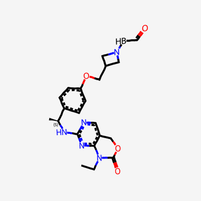 CCN1C(=O)OCc2cnc(N[C@@H](C)c3ccc(OCC4CN(BC=O)C4)cc3)nc21